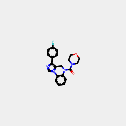 O=C(N1CCOCC1)N1Cc2c(-c3ccc(F)cc3)ncn2-c2ccccc21